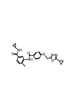 Cc1ccc(C(=O)NC2CC2)cc1NC(=O)c1ccc(OCc2nnc(C3CC3)s2)cc1